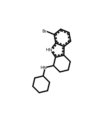 Brc1cccc2c3c([nH]c12)C(NC1CCCCC1)CCC3